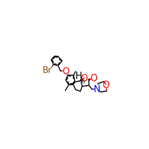 Cc1cc(OCc2ccccc2Br)c(C)c2c1CCC1C(CN3CCOCC3)C(=O)O[C@@H]21